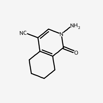 N#Cc1cn(N)c(=O)c2c1CCCC2